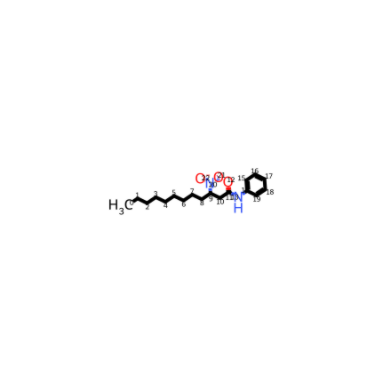 CCCCCCCCCC(CC(=O)Nc1ccccc1)[N+](=O)[O-]